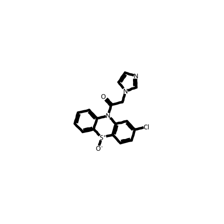 O=C(Cn1ccnc1)N1c2ccccc2[S+]([O-])c2ccc(Cl)cc21